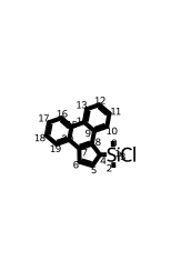 C[Si](C)(Cl)C1C=Cc2c1c1ccccc1c1ccccc21